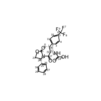 C[C@H](c1ccc(C(F)(F)F)cc1)[C@H](NC(=O)O)C(=O)N1C(=O)OC[C@H]1c1ccccc1